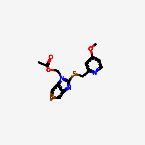 COc1ccnc(CSc2nc3cscc3n2COC(C)=O)c1